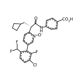 O=C(O)c1ccc(NC(=O)[C@@H](CC2CCC2)c2ccc(-c3c(C(F)F)ccc(Cl)c3F)c[n+]2[O-])cc1